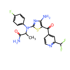 CC(C(N)=O)N(c1ccc(F)cc1)c1nc(N)c(C(=O)c2ccnc(C(F)F)c2)s1